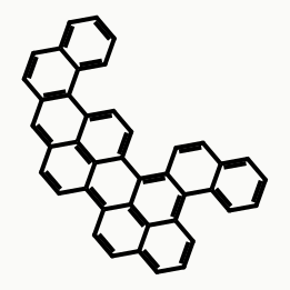 c1ccc2c(c1)ccc1cc3ccc4c5ccc6cccc7c8c9ccccc9ccc8c(c8ccc(c12)c3c48)c5c67